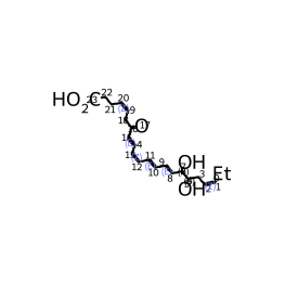 CC/C=C\C[C@H](O)[C@H](O)/C=C/C=C/C=C\C=C\C(=O)C/C=C\CCC(=O)O